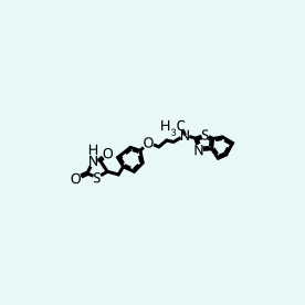 CN(CCCOc1ccc(CC2SC(=O)NC2=O)cc1)c1nc2ccccc2s1